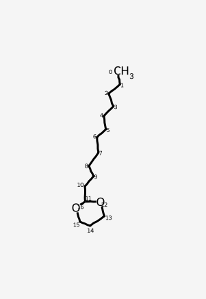 CCCCCCCCCCCC1OCCCO1